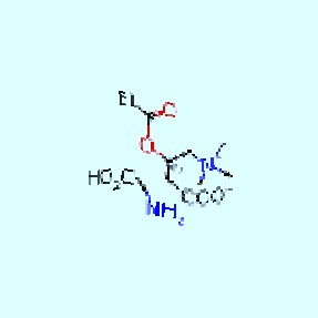 CCC(=O)O[C@H](CC(=O)[O-])C[N+](C)(C)C.NCC(=O)O